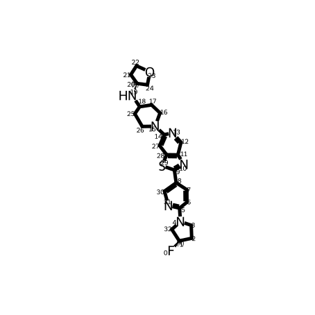 F[C@@H]1CCN(c2ccc(-c3nc4cnc(N5CCC(N[C@@H]6CCOC6)CC5)cc4s3)cn2)C1